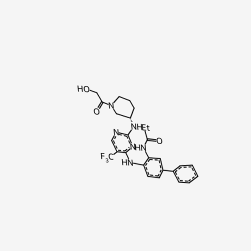 CCC(=O)Nc1cc(-c2ccccc2)ccc1Nc1nc(N[C@H]2CCCN(C(=O)CO)C2)ncc1C(F)(F)F